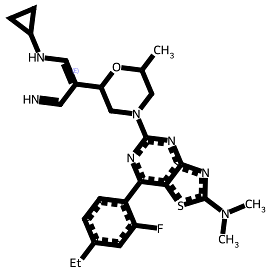 CCc1ccc(-c2nc(N3CC(C)OC(/C(C=N)=C/NC4CC4)C3)nc3nc(N(C)C)sc23)c(F)c1